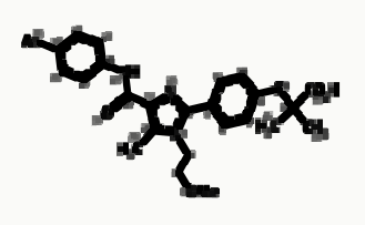 COCCn1c(-c2ccc(SC(C)(C)C(=O)O)cc2)nc(C(=O)Nc2ccc(C(C)=O)cc2)c1C